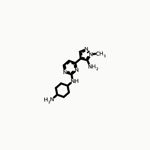 Cn1ncc(-c2ccnc(NC3CCC(N)CC3)n2)c1N